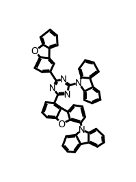 c1ccc2c(c1)oc1ccc(-c3nc(-c4cccc5oc6c(-n7c8ccccc8c8ccccc87)cccc6c45)nc(-n4c5ccccc5c5ccccc54)n3)cc12